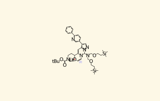 CCO/C=C\N1C(C2CCN(C(=O)OC(C)(C)C)CC2)=Cc2c(-c3ccc(-c4ccccc4)nc3)cnn2C1N(COCC[Si](C)(C)C)COCC[Si](C)(C)C